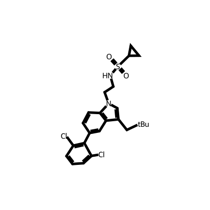 CC(C)(C)Cc1cn(CCNS(=O)(=O)C2CC2)c2ccc(-c3c(Cl)cccc3Cl)cc12